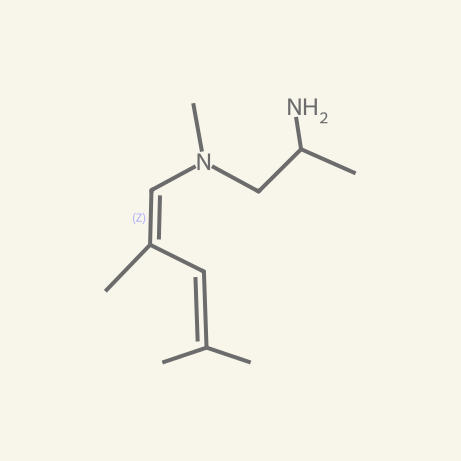 CC(C)=C/C(C)=C\N(C)CC(C)N